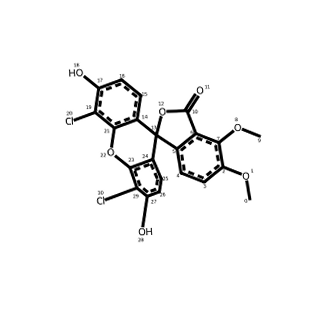 COc1ccc2c(c1OC)C(=O)OC21c2ccc(O)c(Cl)c2Oc2c1ccc(O)c2Cl